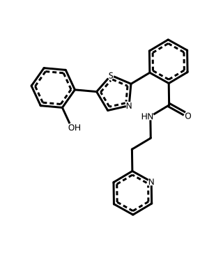 O=C(NCCc1ccccn1)c1ccccc1-c1ncc(-c2ccccc2O)s1